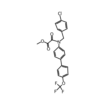 COC(=O)C(=O)N(Cc1ccc(Cl)cc1)c1ccc(-c2ccc(OC(F)(F)F)cc2)cc1